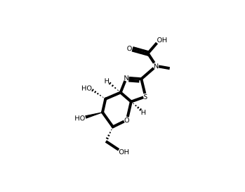 CN(C(=O)O)C1=N[C@@H]2[C@@H](O)[C@H](O)[C@@H](CO)O[C@@H]2S1